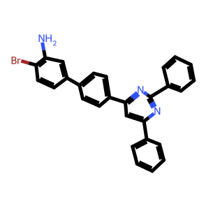 Nc1cc(-c2ccc(-c3cc(-c4ccccc4)nc(-c4ccccc4)n3)cc2)ccc1Br